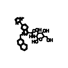 Cn1ccnc1-c1ccc2c(C(=O)N[C@H]3C(O)O[C@H](CO)[C@@H](O)C3O)cn(Cc3ccc4ccccc4c3)c2c1